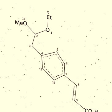 CCOC(Cc1ccc(/C=C/C(=O)O)cc1)OC